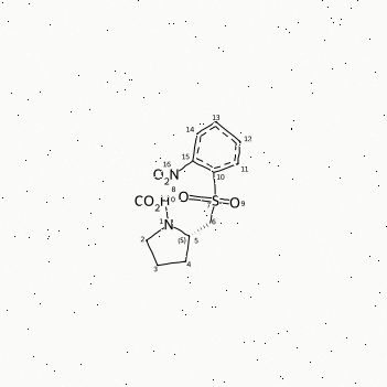 O=C(O)N1CCC[C@H]1CS(=O)(=O)c1ccccc1[N+](=O)[O-]